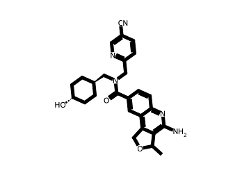 CC1OCc2c1c(N)nc1ccc(C(=O)N(Cc3ccc(C#N)cn3)C[C@H]3CC[C@H](O)CC3)cc21